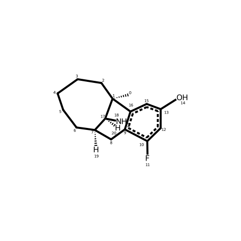 C[C@]12CCCCC[C@H](Cc3c(F)cc(O)cc31)[C@@H]2N